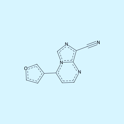 N#Cc1ncn2c(-c3ccoc3)ccnc12